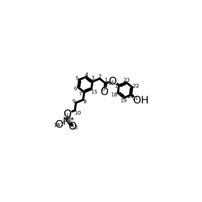 O=C(Cc1cccc(CCCO[N+](=O)[O-])c1)Oc1ccc(O)cc1